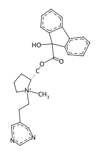 C[N+]1(CCc2cncnc2)CCC[C@@H]1COC(=O)C1(O)c2ccccc2-c2ccccc21